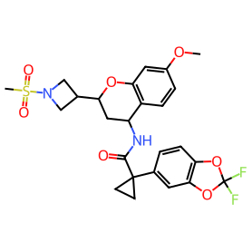 COc1ccc2c(c1)OC(C1CN(S(C)(=O)=O)C1)CC2NC(=O)C1(c2ccc3c(c2)OC(F)(F)O3)CC1